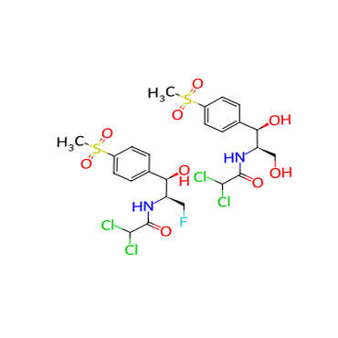 CS(=O)(=O)c1ccc([C@@H](O)[C@@H](CF)NC(=O)C(Cl)Cl)cc1.CS(=O)(=O)c1ccc([C@@H](O)[C@@H](CO)NC(=O)C(Cl)Cl)cc1